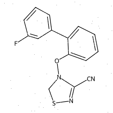 N#CC1=NSCN1Oc1ccccc1-c1cccc(F)c1